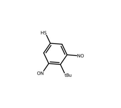 CC(C)(C)c1c(N=O)cc(S)cc1N=O